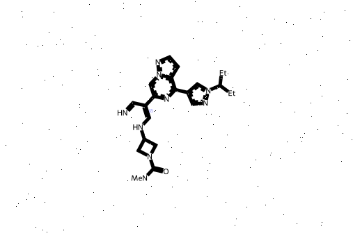 CCC(CC)n1cc(-c2nc(/C(C=N)=C/NC3CN(C(=O)NC)C3)cn3nccc23)cn1